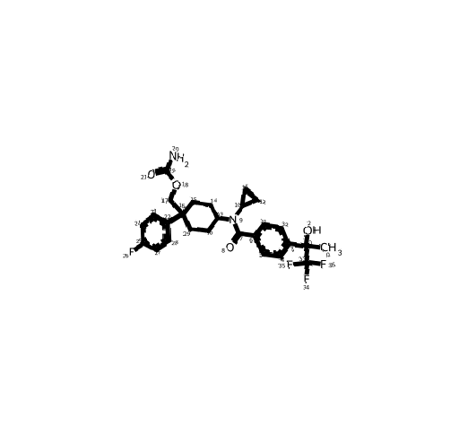 CC(O)(c1ccc(C(=O)N(C2CC2)C2CCC(COC(N)=O)(c3ccc(F)cc3)CC2)cc1)C(F)(F)F